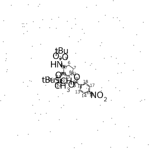 CC(C)(C)OC(=O)N[C@@H]1CC[C@H](OC(=O)c2ccc([N+](=O)[O-])cc2)C[C@H]1O[Si](C)(C)C(C)(C)C